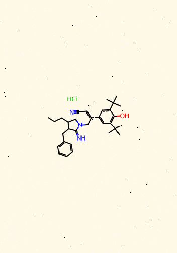 CCCC1CN(CC(=CC#N)c2cc(C(C)(C)C)c(O)c(C(C)(C)C)c2)C(=N)C1Cc1ccccc1.Cl